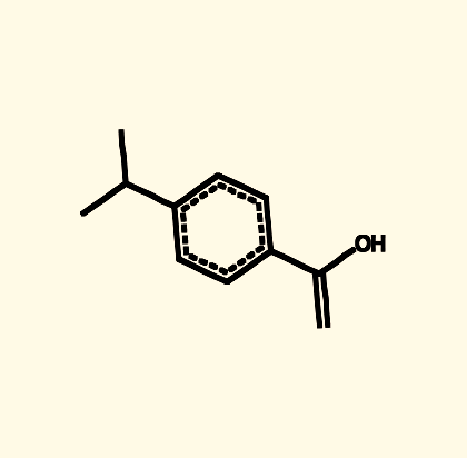 C=C(O)c1ccc(C(C)C)cc1